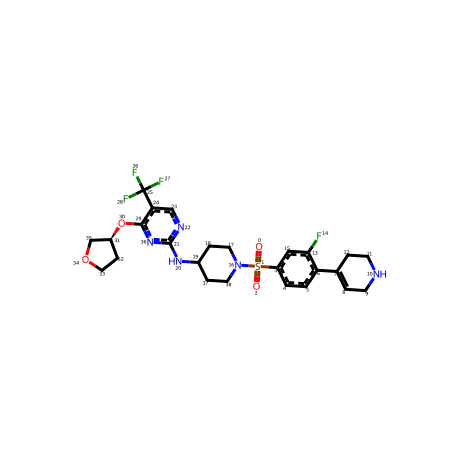 O=S(=O)(c1ccc(C2=CCNCC2)c(F)c1)N1CCC(Nc2ncc(C(F)(F)F)c(O[C@H]3CCOC3)n2)CC1